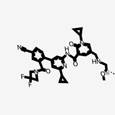 CO[C@@H](C)CNCc1cc(C(=O)Nc2cc(-c3ccc(C#N)cc3C(=O)N3CC(F)(F)C3)cc(C3CC3)n2)c(=O)n(C2CC2)c1